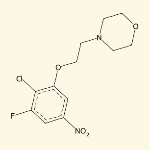 O=[N+]([O-])c1cc(F)c(Cl)c(OCCN2CCOCC2)c1